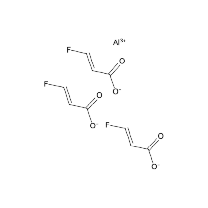 O=C([O-])C=CF.O=C([O-])C=CF.O=C([O-])C=CF.[Al+3]